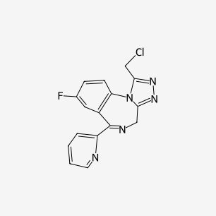 Fc1ccc2c(c1)C(c1ccccn1)=NCc1nnc(CCl)n1-2